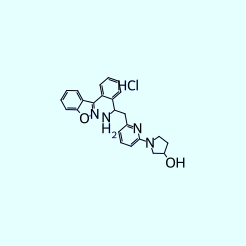 Cl.NC(Cc1cccc(N2CCC(O)C2)n1)c1ccccc1-c1noc2ccccc12